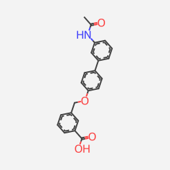 CC(=O)Nc1cccc(-c2ccc(OCc3cccc(C(=O)O)c3)cc2)c1